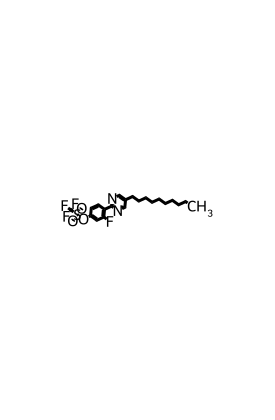 CCCCCCCCCCc1cnc(-c2ccc(OS(=O)(=O)C(F)(F)F)cc2F)nc1